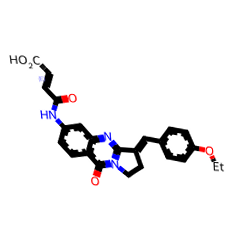 CCOc1ccc(C=C2CCn3c2nc2cc(NC(=O)/C=C/C(=O)O)ccc2c3=O)cc1